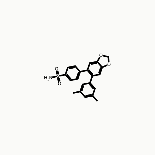 Cc1cc(C)cc(-c2cc3c(cc2-c2ccc(S(N)(=O)=O)cc2)OCO3)c1